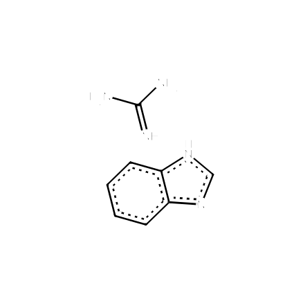 N=C(N)N.c1ccc2[nH]cnc2c1